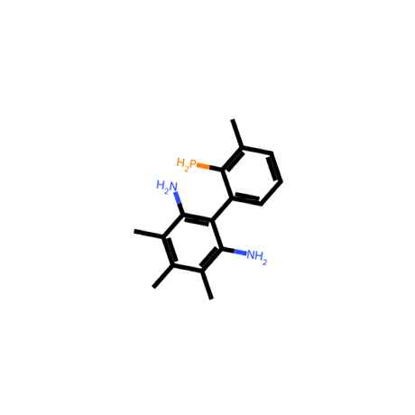 Cc1cccc(-c2c(N)c(C)c(C)c(C)c2N)c1P